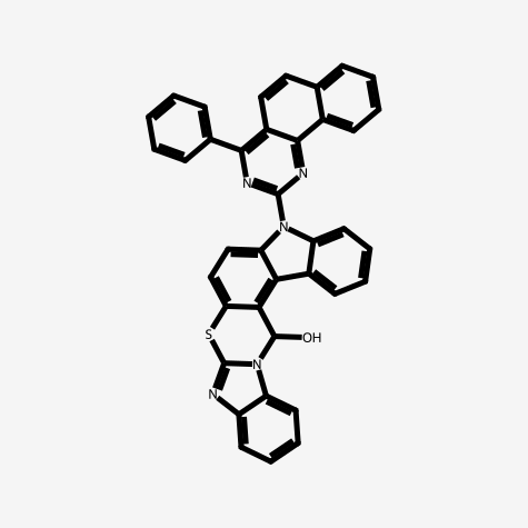 OC1c2c(ccc3c2c2ccccc2n3-c2nc(-c3ccccc3)c3ccc4ccccc4c3n2)Sc2nc3ccccc3n21